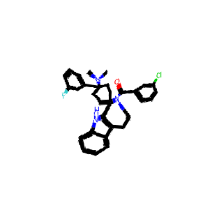 CN(C)C1(c2cccc(F)c2)CCC2(CC1)c1[nH]c3ccccc3c1CCN2C(=O)c1cccc(Cl)c1